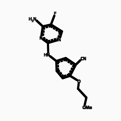 COCCOc1ccc(Nc2ncc(F)c(N)n2)cc1C#N